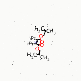 C=C(C)COC(=O)/C(=C(\C(=O)OCC(=C)C)C(C)C)C(C)C